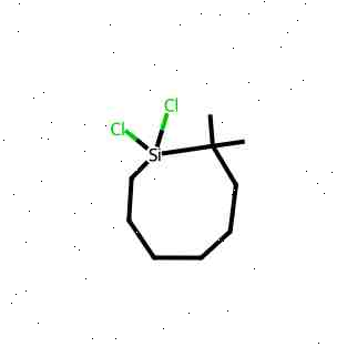 CC1(C)CCCCCC[Si]1(Cl)Cl